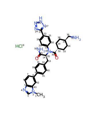 Cl.Cn1cnc2ccc(-c3ccc(C[C@@H](C(N)=O)N(c4ccc(-c5nn[nH]n5)cc4)C(=O)[C@H]4CC[C@H](CN)CC4)cc3)cc21